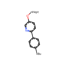 CCCCCCCOc1ccc(-c2ccc(CCCC)cc2)nc1